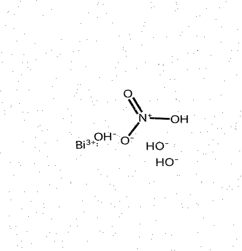 O=[N+]([O-])O.[Bi+3].[OH-].[OH-].[OH-]